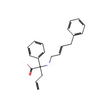 C=CCC(NCC=CCc1ccccc1)(C(=O)O)c1ccccc1